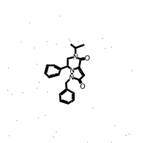 CC(C)N1CC(c2ccccc2)n2c(cc(=O)n2Cc2ccccc2)C1=O